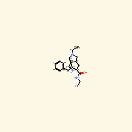 CC(C)CNC(=O)C12CC3CN(CC(C)C)C(C3C=N1)C2Cc1ccccc1